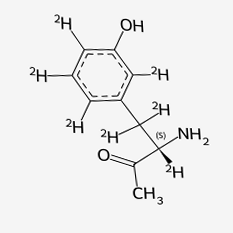 [2H]c1c([2H])c(O)c([2H])c(C([2H])([2H])[C@]([2H])(N)C(C)=O)c1[2H]